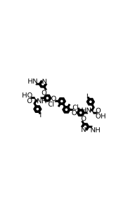 Cc1c(COc2cc(OCc3cncc(C=N)c3)c(CN[C@H](CC(=O)O)Cc3ccc(I)cc3)cc2Cl)cccc1-c1cccc(COc2cc(OCc3cncc(C=N)c3)c(CN[C@H](CC(=O)O)Cc3ccc(I)cc3)cc2Cl)c1C